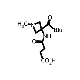 CN1CC(NC(=O)CCC(=O)O)(C(=O)C(C)(C)C)C1